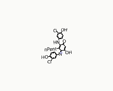 CCCCCC1=C(Nc2ccc(O)c(Cl)c2)C(=O)C=C(O)/C1=N/c1ccc(O)c(Cl)c1